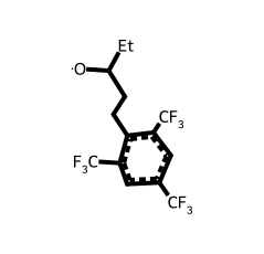 CCC([O])CCc1c(C(F)(F)F)cc(C(F)(F)F)cc1C(F)(F)F